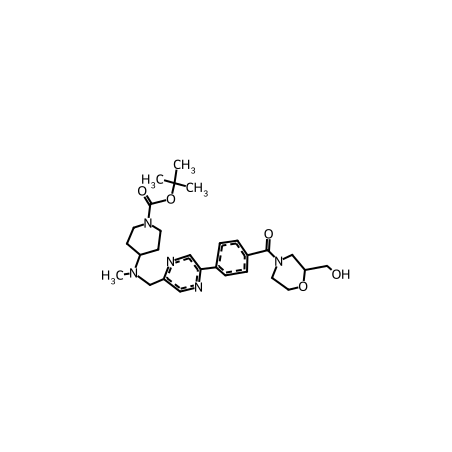 CN(Cc1cnc(-c2ccc(C(=O)N3CCOC(CO)C3)cc2)cn1)C1CCN(C(=O)OC(C)(C)C)CC1